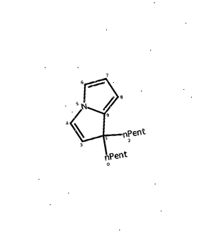 CCCCCC1(CCCCC)C=Cn2cccc21